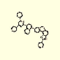 c1ccc(-c2cc(-c3ccccc3)nc(-c3ccc(-c4ccc5c(ccc6ccc7c(c65)OC(c5ccccc5)N7)c4)c4ccccc34)n2)cc1